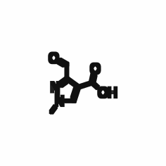 Cn1cc(C(=O)O)c(C=O)n1